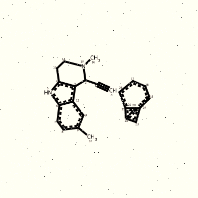 C#CC1c2c([nH]c3ccc(C)cc23)CCN1C.c1cc2ncc3cc2c3c1